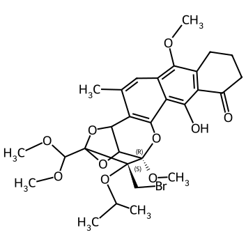 COc1c2c(c(O)c3c4c(c(C)cc13)C1OC3(C(OC)OC)OC1[C@@](OC)(O4)[C@]3(CBr)OC(C)C)C(=O)CCC2